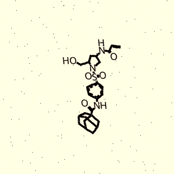 C=CC(=O)NC1CC(CO)N(S(=O)(=O)c2ccc(NC(=O)C34CC5CC(CC(C5)C3)C4)cc2)C1